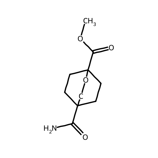 COC(=O)C12CCC(C(N)=O)(CC1)CO2